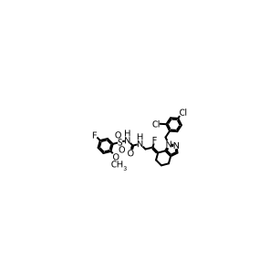 COc1ccc(F)cc1S(=O)(=O)NC(=O)NCC(F)=C1CCCc2cnn(Cc3ccc(Cl)cc3Cl)c21